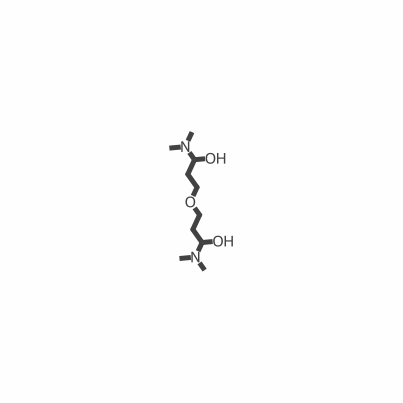 CN(C)C(O)CCOCCC(O)N(C)C